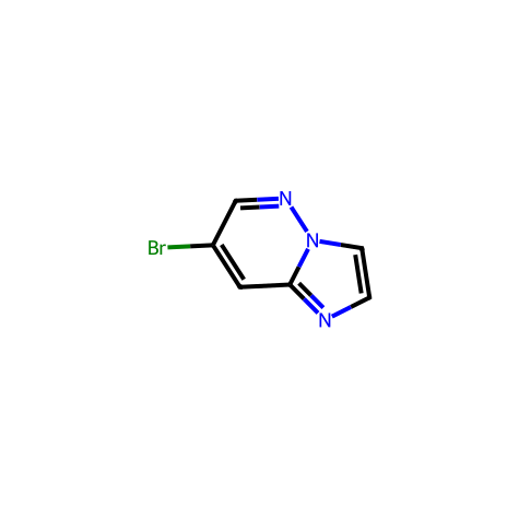 Brc1cnn2ccnc2c1